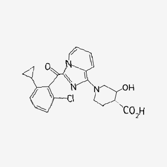 O=C(c1c(Cl)cccc1C1CC1)c1nc(N2CCC(C(=O)O)C(O)C2)c2ccccn12